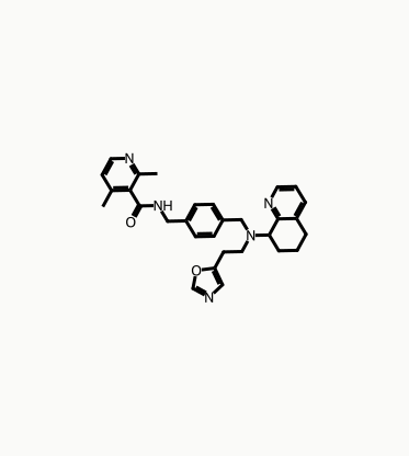 Cc1ccnc(C)c1C(=O)NCc1ccc(CN(CCc2cnco2)C2CCCc3cccnc32)cc1